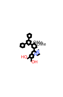 COc1cc(-c2cc3cc(CO)c(CO)cc3[n+]3c2N(C)CC3)cc(-c2cc(-c3ccccc3)cc(-c3ccccc3)c2)c1OC